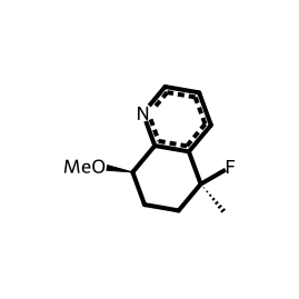 CO[C@@H]1CC[C@](C)(F)c2cccnc21